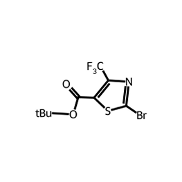 CC(C)(C)OC(=O)c1sc(Br)nc1C(F)(F)F